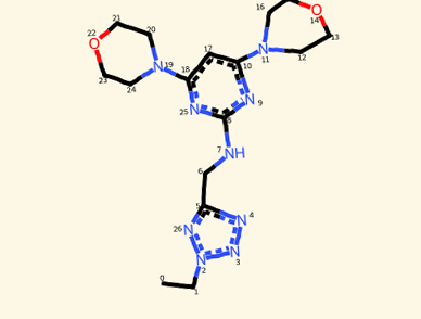 CCn1nnc(CNc2nc(N3CCOCC3)cc(N3CCOCC3)n2)n1